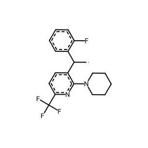 [CH2]C(c1ccccc1F)c1ccc(C(F)(F)F)nc1N1CCCCC1